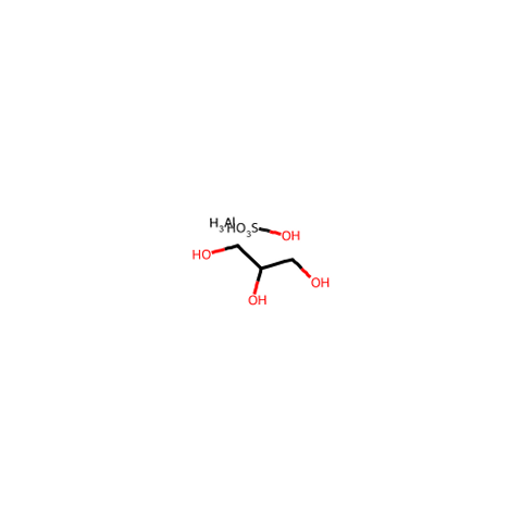 O=S(=O)(O)O.OCC(O)CO.[AlH3]